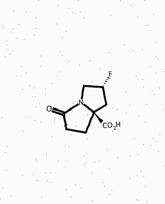 O=C1CC[C@@]2(C(=O)O)C[C@@H](F)CN12